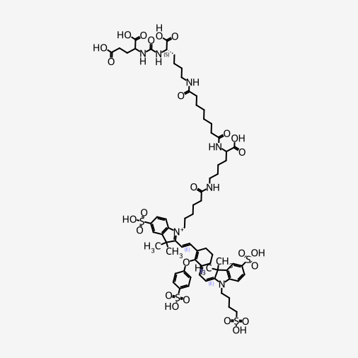 CC1(C)C(/C=C/C2=C(Oc3ccc(S(=O)(=O)O)cc3)C(=C/C=C3/N(CCCCS(=O)(=O)O)c4ccc(S(=O)(=O)O)cc4C3(C)C)/CCC2)=[N+](CCCCCC(=O)NCCCCC(NC(=O)CCCCCCC(=O)NCCCC[C@H](NC(=O)NC(CCC(=O)O)C(=O)O)C(=O)O)C(=O)O)c2ccc(S(=O)(=O)O)cc21